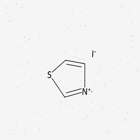 C1=CSC=[N+]1.[I-]